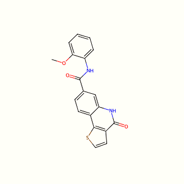 COc1ccccc1NC(=O)c1ccc2c(c1)[nH]c(=O)c1ccsc12